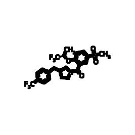 C[C@H](Oc1ccc(S(C)(=O)=O)cc1C(=O)N1CCC(Cc2ccc(C(F)(F)F)cc2)C1)C(F)(F)F